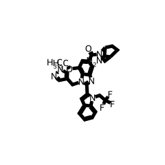 COc1cc(C(=O)N2CC3CCC2C3N)cc2nc(-c3cc4ccccc4n3CC(F)(F)F)n(Cc3cnn(C)c3)c12